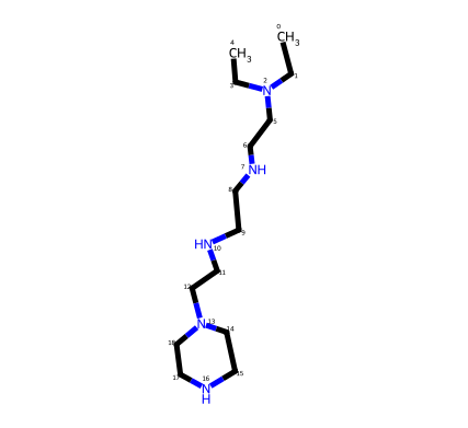 CCN(CC)CCNCCNCCN1CCNCC1